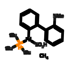 C.CNc1ccccc1-c1cccc[c]1[Pd]([PH](C(C)(C)C)(C(C)(C)C)C(C)(C)C)[S](=O)(=O)O